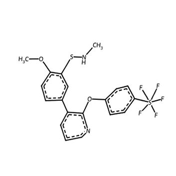 CNSc1cc(-c2cccnc2Oc2ccc(S(F)(F)(F)(F)F)cc2)ccc1OC